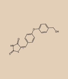 O=C1NC(=S)S/C1=C/c1ccc(Oc2ccc(CO)cc2)cc1